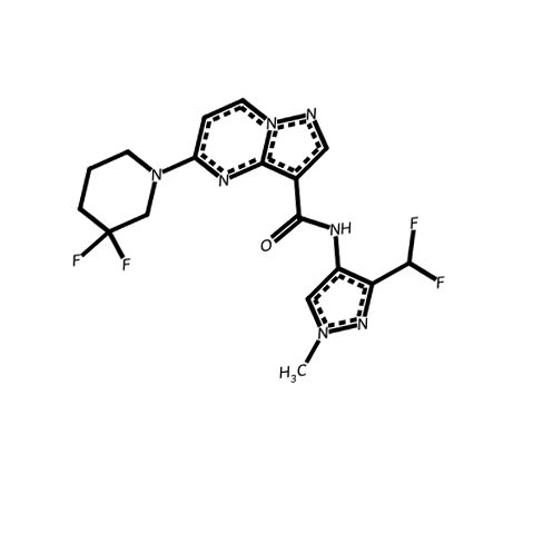 Cn1cc(NC(=O)c2cnn3ccc(N4CCCC(F)(F)C4)nc23)c(C(F)F)n1